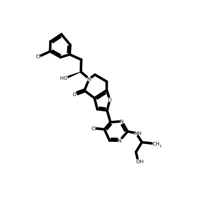 CC(CO)Nc1ncc(Cl)c(-c2cc3c(o2)CCN([C@@H](O)[CH]c2cccc(Cl)c2)C3=O)n1